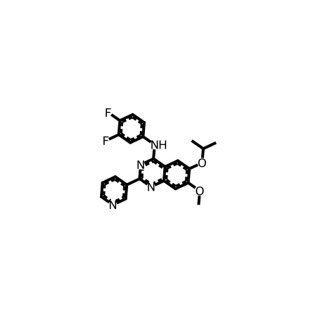 COc1cc2nc(-c3cccnc3)nc(Nc3ccc(F)c(F)c3)c2cc1OC(C)C